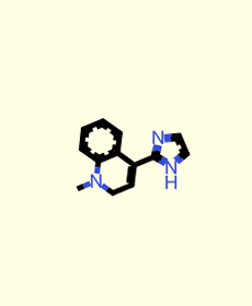 CN1CC=C(c2ncc[nH]2)c2ccccc21